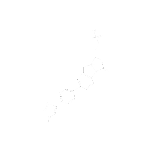 Cn1cc(-c2ccc(-c3ccc4c(c3)C[C@H]3[C@H](COP(=O)(O)O)OC(=O)N43)cn2)nn1